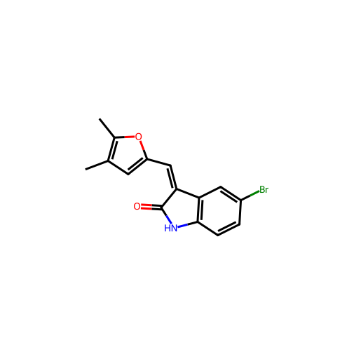 Cc1cc(/C=C2\C(=O)Nc3ccc(Br)cc32)oc1C